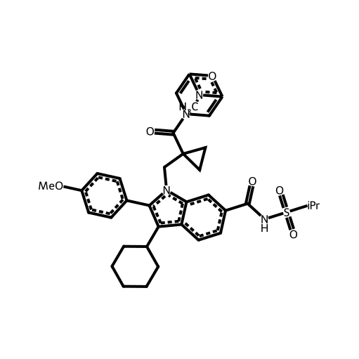 COc1ccc(-c2c(C3CCCCC3)c3ccc(C(=O)NS(=O)(=O)C(C)C)cc3n2CC2(C(=O)N3C=c4oc(n4C)=C3)CC2)cc1